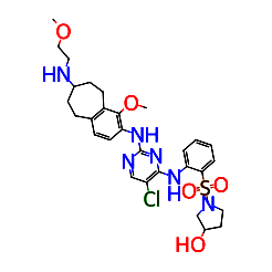 COCCNC1CCc2ccc(Nc3ncc(Cl)c(Nc4ccccc4S(=O)(=O)N4CCC(O)C4)n3)c(OC)c2CC1